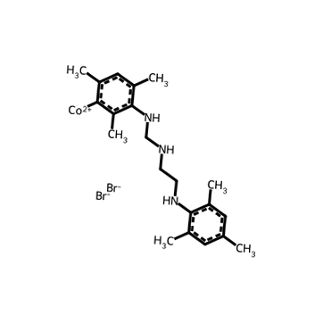 Cc1cc(C)c(NCCNCNc2c(C)cc(C)[c]([Co+2])c2C)c(C)c1.[Br-].[Br-]